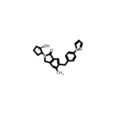 Cc1cc2c(cc1Cc1ccc(-n3cccn3)cc1)C(=O)N(C1CCC[C@H]1O)C2